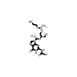 [2H]C[C@H](COP(C)OCCC#N)O[C@H](C)n1cnc2c(=O)[nH]c(NC(=O)C(C)C)nc21